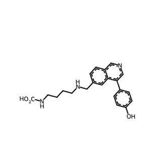 O=C(O)NCCCCNCc1ccc2cncc(-c3ccc(O)cc3)c2c1